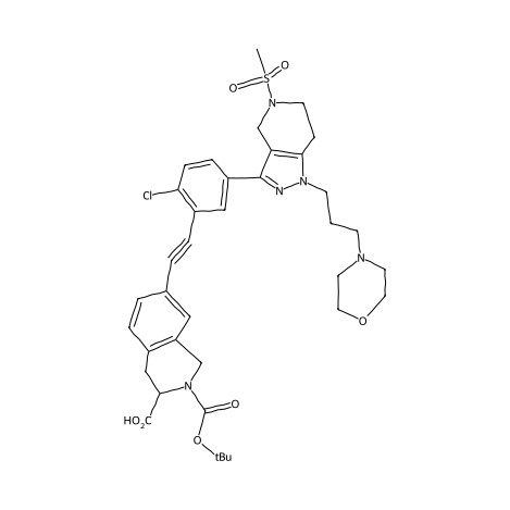 CC(C)(C)OC(=O)N1Cc2cc(C#Cc3cc(-c4nn(CCCN5CCOCC5)c5c4CN(S(C)(=O)=O)CC5)ccc3Cl)ccc2CC1C(=O)O